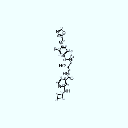 O=C(NC[C@H](O)CN1CCc2cc(OCc3cnco3)c(F)cc2C1)c1ccnc(NC2CCC2)c1